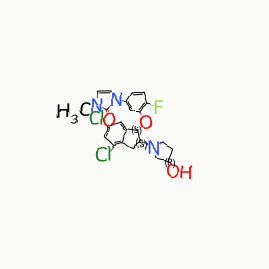 Cn1ccn(-c2ccc(F)c(O[C@H]3c4cc(Cl)cc(Cl)c4C[C@@H]3N3CC[C@@H](O)C3)c2)c1=O